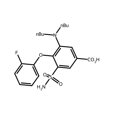 CCCCN(CCCC)c1cc(C(=O)O)cc(S(N)(=O)=O)c1Oc1ccccc1F